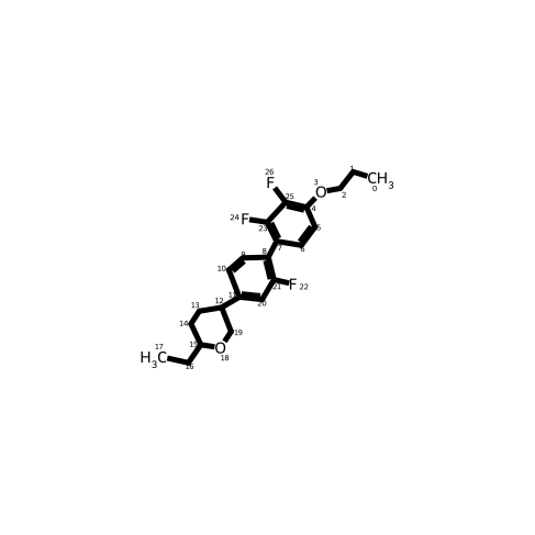 CCCOc1ccc(-c2ccc(C3CCC(CC)OC3)cc2F)c(F)c1F